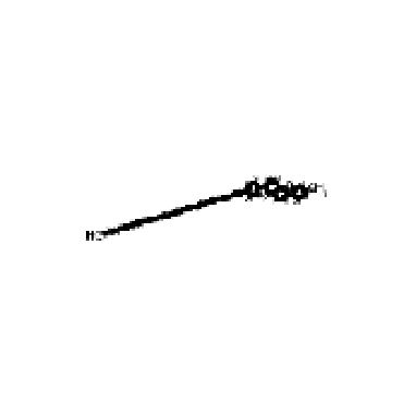 C#CC#CC#CC#CC#CC#CC#CC#CC#CC#CC#CC#Cc1ccc2c(c1)sc1c2ccc2c1ccc1c3ccc(C)cc3oc12